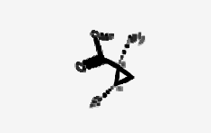 CC[C@H]1C[C@]1(N)C(=O)OC